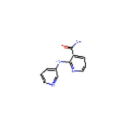 NC(=O)c1cccnc1Nc1cccnc1